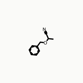 CC(C#N)OCc1ccccc1